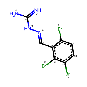 N=C(N)NN=Cc1c(Br)ccc(Br)c1Br